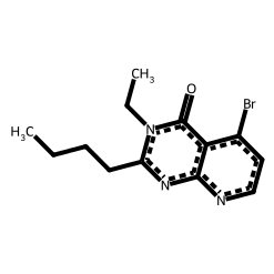 CCCCc1nc2nccc(Br)c2c(=O)n1CC